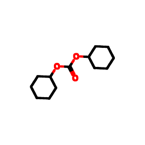 O=C(OC1CCCCC1)OC1CCCCC1